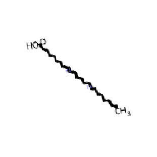 CCCCCCCC/C=C/CCCC/C=C/CCCCCCCC(=O)O